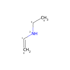 C=CNCC